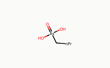 CCCC[As](=O)(O)O